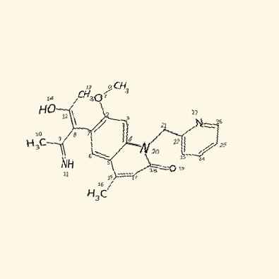 COc1cc2c(cc1/C(C(C)=N)=C(\C)O)c(C)cc(=O)n2Cc1ccccn1